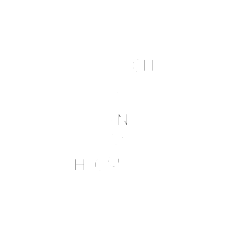 COC1C2CN([C@H]3CC[C@@H](C)CC3)CC21